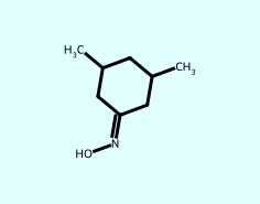 CC1CC(=NO)CC(C)C1